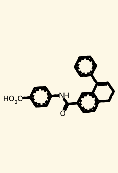 O=C(O)c1ccc(NC(=O)c2ccc3c(c2)C(c2ccccc2)=CCC3)cc1